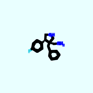 NC[C@]1(Cc2ccccc2)CNC[C@H]1c1ccc(F)cc1